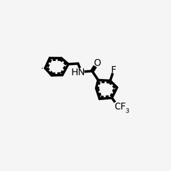 O=C(NCc1cc[c]cc1)c1ccc(C(F)(F)F)cc1F